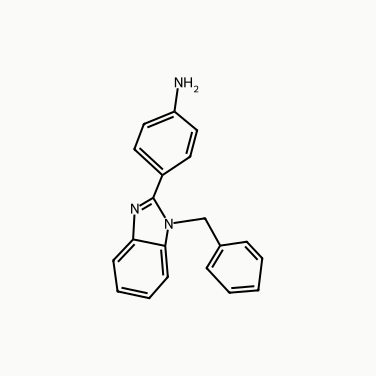 Nc1ccc(-c2nc3ccccc3n2Cc2ccccc2)cc1